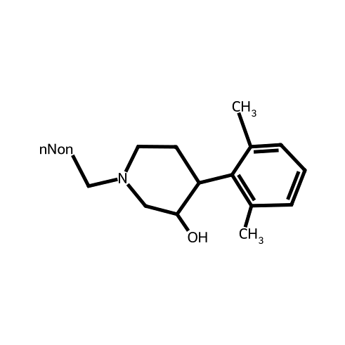 CCCCCCCCCCN1CCC(c2c(C)cccc2C)C(O)C1